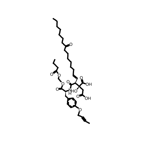 CC#CCOc1ccc(C[C@H](NC(=O)[C@@H](C=CCCCCCCC(=O)CCCCCCC)[C@@](O)(CC(=O)O)C(=O)O)C(=O)OCOC(=O)CCC)cc1